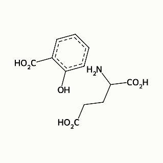 NC(CCC(=O)O)C(=O)O.O=C(O)c1ccccc1O